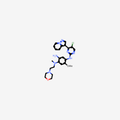 COc1cc(N(C)CCN2CCOCC2)c(N)cc1Nc1ncc(Cl)c(-c2cnn3ccccc23)n1